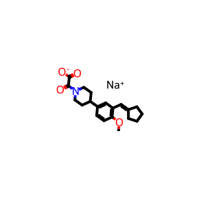 COc1ccc(C2CCN(C(=O)C(=O)[O-])CC2)cc1C=C1CCCC1.[Na+]